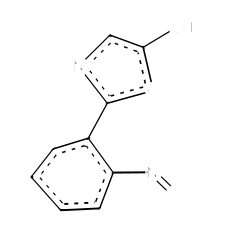 Cc1cnc(-c2ccccc2N=O)o1